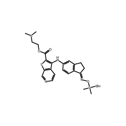 CN(C)CCOC(=O)c1sc2cnccc2c1Nc1ccc2c(c1)CCC2=NO[Si](C)(C)C(C)(C)C